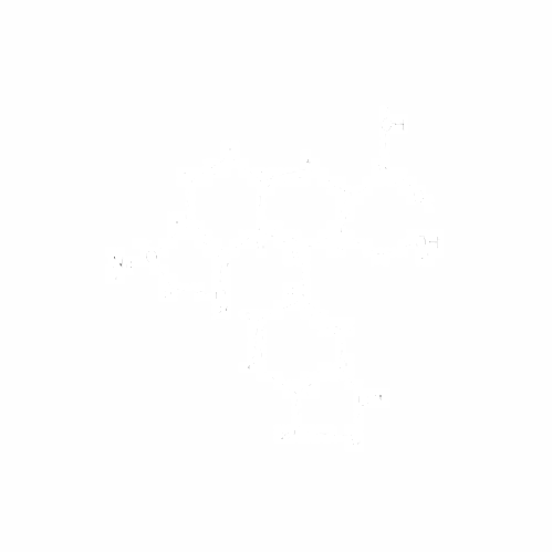 O=C(O)c1cc2ccc3c(c2c(-c2ccc4c(c2)OCO4)c1CO)OCO3.[Na]